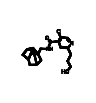 O=C(NCC12CC3CC(CC(C3)C1)C2)c1cc(CCCO)ncc1Cl